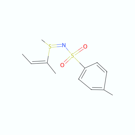 C/C=C(/C)S(C)=NS(=O)(=O)c1ccc(C)cc1